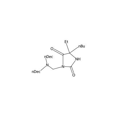 CCCCCCCCCCN(CCCCCCCCCC)CN1C(=O)NC(CC)(CCCC)C1=O